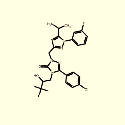 CC(N)c1nc(Cn2nc(-c3ccc(Cl)cc3)n(CC(O)C(F)(F)F)c2=O)nn1-c1cccc(F)c1